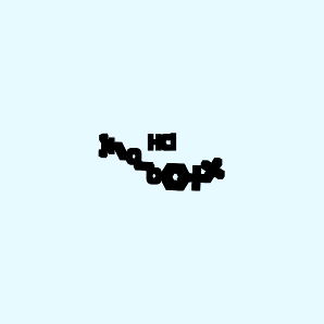 CN(C)CCOCCOc1ccc(C(C)(C)CC(C)(C)C)cc1.Cl